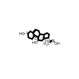 C/C(=N\O)[C@H]1CCC2C3CC=C4C[C@@H](O)CC[C@]4(C)C3[C@@H](O)C[C@@]21C